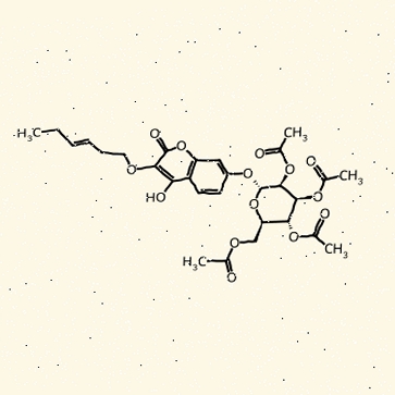 CCC=CCCOc1c(O)c2ccc(O[C@H]3O[C@H](COC(C)=O)[C@@H](OC(C)=O)[C@H](OC(C)=O)[C@@H]3OC(C)=O)cc2oc1=O